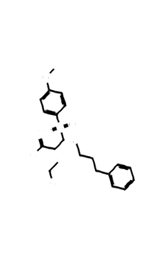 COc1ccc(S(=O)(=O)[C@H](CCCCc2ccccc2)[C@H](CCO)C(=O)O)cc1